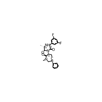 C[C@H](N)C(=O)N(C(=O)Cc1cc(F)cc(F)c1)[C@H]1CC[C@@H](c2ccccc2)CN(C)C1=O